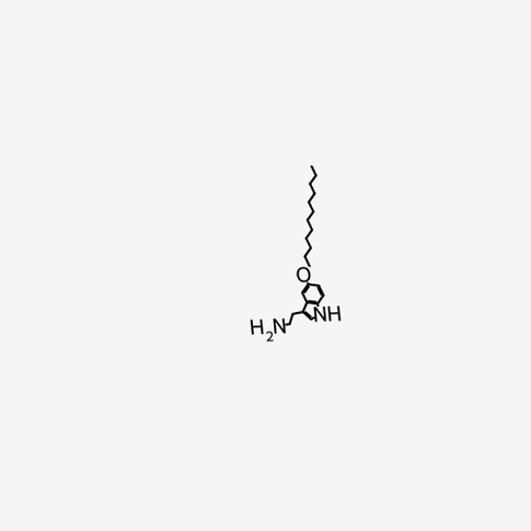 CCCCCCCCCCCCOc1ccc2[nH]cc(CCN)c2c1